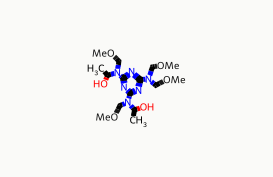 COCN(COC)c1nc(N(COC)C(C)O)nc(N(COC)C(C)O)n1